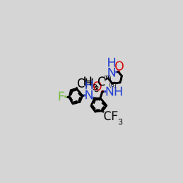 Cc1cc(F)ccc1Nc1ccc(C(F)(F)F)cc1C(=O)N[C@H]1CCC(=O)N[C@@H]1C